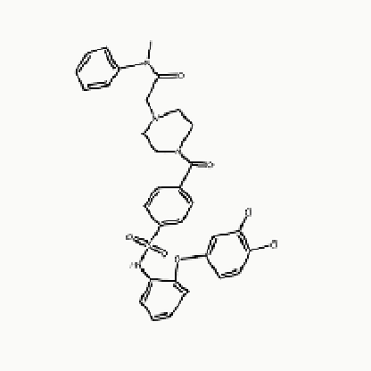 CN(C(=O)CN1CCN(C(=O)c2ccc(S(=O)(=O)Nc3ccccc3Oc3ccc(Cl)c(Cl)c3)cc2)CC1)c1ccccc1